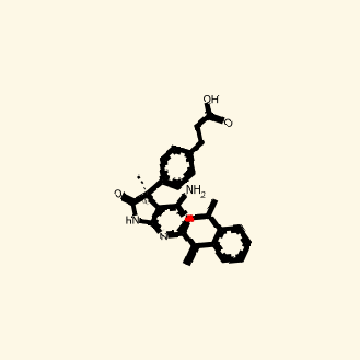 C=C(c1nc(N)c2c(n1)NC(=O)[C@@]2(C)c1ccc(CCC(=O)O)cc1)c1ccccc1C(C)CC